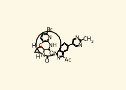 CC(=O)c1nn2c3c(cc(-c4cnc(C)nc4)cc13)CCCCCCCCC[C@@]13C[C@@H](C(=O)Nc4nc(Br)ccc4C)N(C(=O)C2)[C@@H]1C3